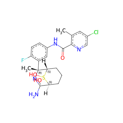 Cc1cc(Cl)cnc1C(=O)Nc1ccc(F)c([C@@]2(C)N=C(N)[C@@H]3CCC[C@@H]2S3(O)O)c1